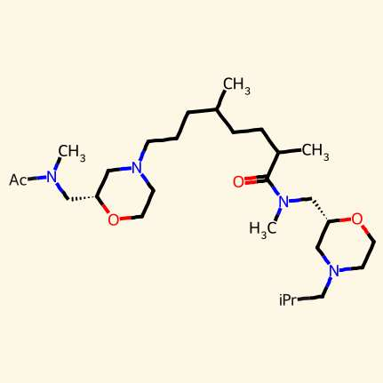 CC(=O)N(C)C[C@@H]1CN(CCCC(C)CCC(C)C(=O)N(C)C[C@H]2CN(CC(C)C)CCO2)CCO1